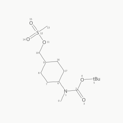 CN(C(=O)OC(C)(C)C)C1CCC(COS(C)(=O)=O)CC1